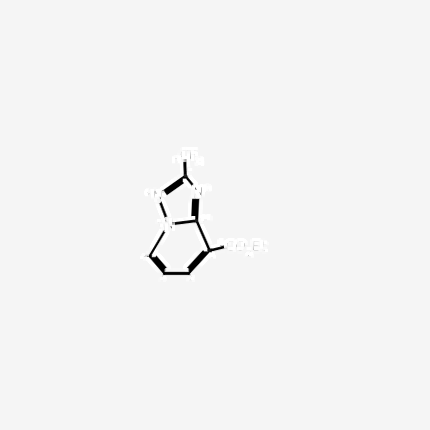 CCOC(=O)c1cccn2nc(C(F)(F)F)nc12